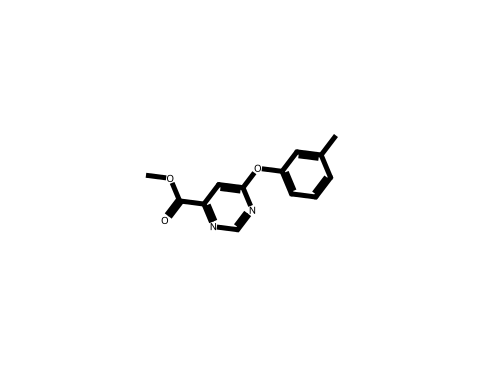 COC(=O)c1cc(Oc2cccc(C)c2)ncn1